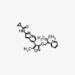 Cc1onc(OC[C@H](c2ccccn2)N(C)C)c1-c1ccn2nc(NC(=O)C3CC3)cc2c1